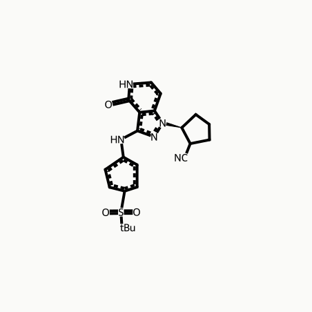 CC(C)(C)S(=O)(=O)c1ccc(Nc2nn([C@H]3CCCC3C#N)c3cc[nH]c(=O)c23)cc1